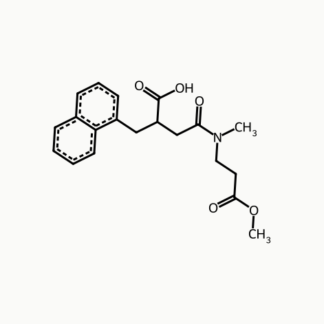 COC(=O)CCN(C)C(=O)CC(Cc1cccc2ccccc12)C(=O)O